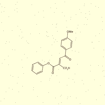 COc1ccc(C(=O)/C=C(\C(=O)O)C(=O)Oc2ccccc2)cc1